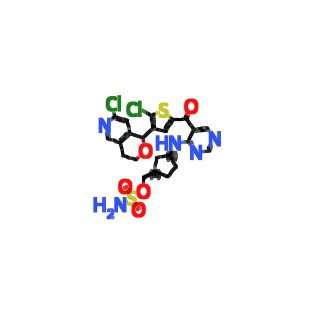 NS(=O)(=O)OC[C@@H]1CC[C@H](Nc2ncncc2C(=O)c2cc(C3OCCc4cnc(Cl)cc43)c(Cl)s2)C1